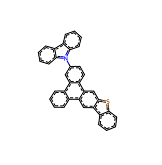 c1ccc2c(c1)sc1cc3c4ccc(-n5c6ccccc6c6ccccc65)cc4c4ccccc4c3cc12